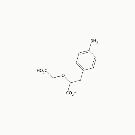 Nc1ccc(CC(OCC(=O)O)C(=O)O)cc1